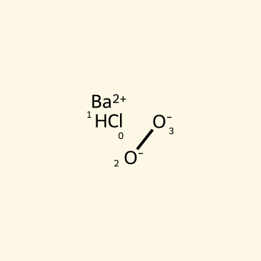 Cl.[Ba+2].[O-][O-]